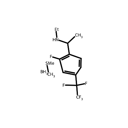 B.CCNC(C)c1ccc(C(F)(F)C(F)(F)F)cc1F.CSC